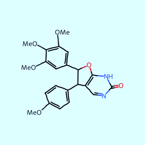 COc1ccc(C2c3cnc(=O)[nH]c3OC2c2cc(OC)c(OC)c(OC)c2)cc1